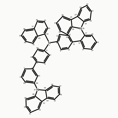 c1cc(-c2ccc(N(c3ccc(-c4ccccc4-n4c5ccccc5c5ccccc54)cc3)c3cccc4ccccc34)cc2)cc(-n2c3ccccc3c3ccccc32)c1